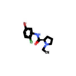 N#CCN1CCC[C@@H]1C(=O)Nc1cc(Br)ccc1Cl